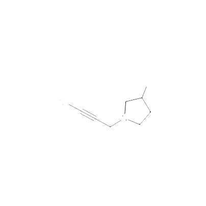 CC(C)(C)C#CCN1CCC(F)C1